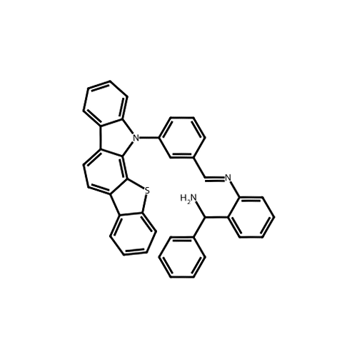 NC(c1ccccc1)c1ccccc1/N=C/c1cccc(-n2c3ccccc3c3ccc4c5ccccc5sc4c32)c1